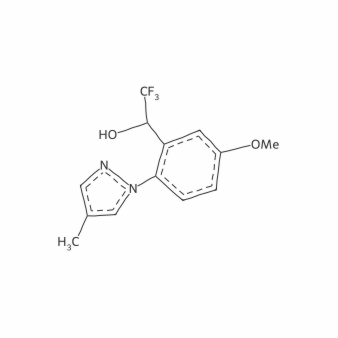 COc1ccc(-n2cc(C)cn2)c(C(O)C(F)(F)F)c1